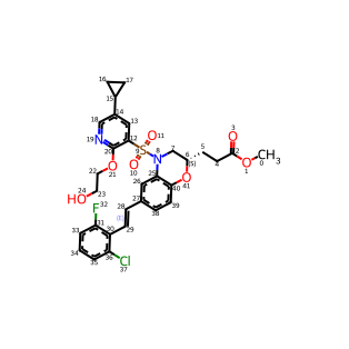 COC(=O)CC[C@H]1CN(S(=O)(=O)c2cc(C3CC3)cnc2OCCO)c2cc(/C=C/c3c(F)cccc3Cl)ccc2O1